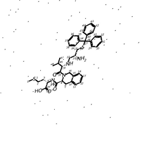 CSCC[C@H](NC(=O)[C@@H]1Cc2ccccc2CN1C(=O)[C@@H](NC[C@@H](N)CSC(c1ccccc1)(c1ccccc1)c1ccccc1)C(C)C)C(=O)O